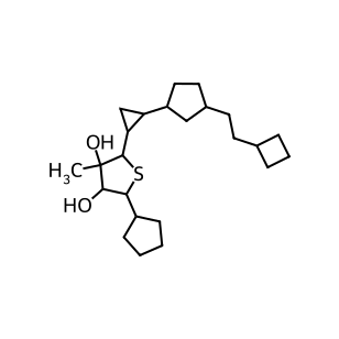 CC1(O)C(O)C(C2CCCC2)SC1C1CC1C1CCC(CCC2CCC2)C1